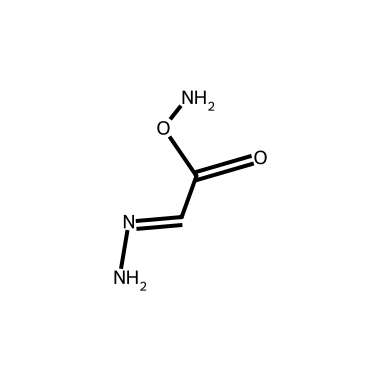 NN=CC(=O)ON